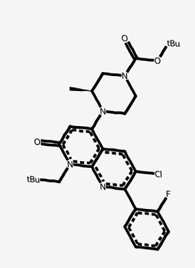 C[C@H]1CN(C(=O)OC(C)(C)C)CCN1c1cc(=O)n(CC(C)(C)C)c2nc(-c3ccccc3F)c(Cl)cc12